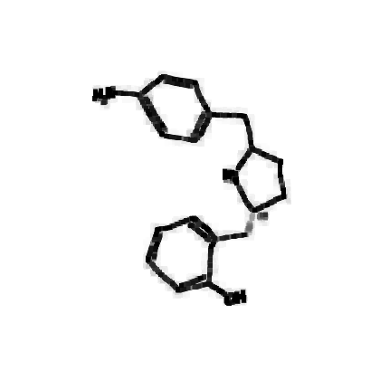 Nc1ccc(CC2CC[C@H](Cc3ccccc3O)N2)cc1